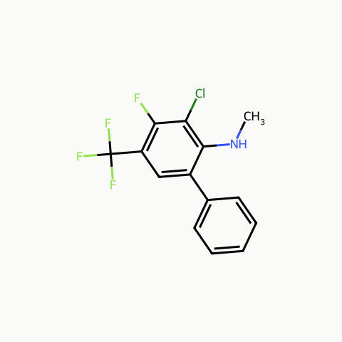 CNc1c(-c2ccccc2)cc(C(F)(F)F)c(F)c1Cl